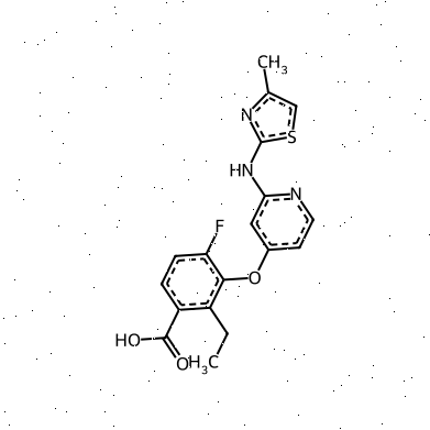 CCc1c(C(=O)O)ccc(F)c1Oc1ccnc(Nc2nc(C)cs2)c1